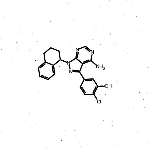 Nc1ncnc2c1c(-c1ccc(Cl)c(O)c1)nn2C1CCCc2ccccc21